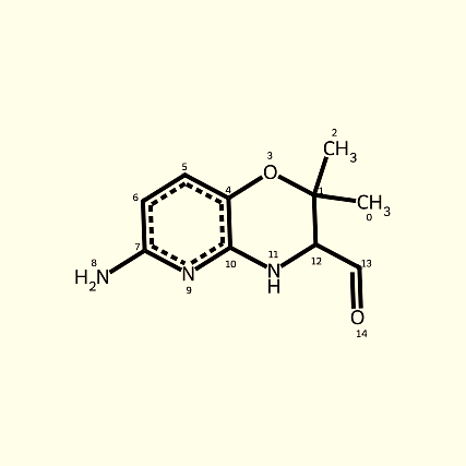 CC1(C)Oc2ccc(N)nc2NC1C=O